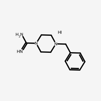 I.N=C(N)N1CCN(Cc2ccccc2)CC1